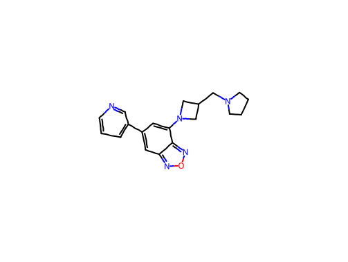 c1cncc(-c2cc(N3CC(CN4CCCC4)C3)c3nonc3c2)c1